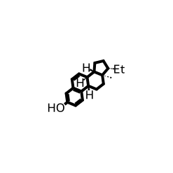 CC[C@H]1CC[C@H]2[C@@H]3C=Cc4cc(O)ccc4[C@H]3CC[C@]12C